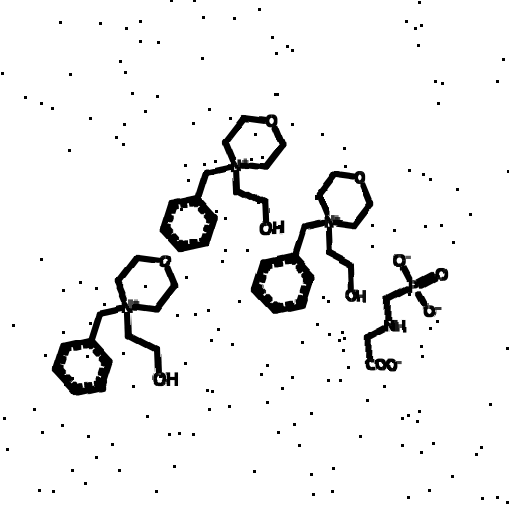 O=C([O-])CNCP(=O)([O-])[O-].OCC[N+]1(Cc2ccccc2)CCOCC1.OCC[N+]1(Cc2ccccc2)CCOCC1.OCC[N+]1(Cc2ccccc2)CCOCC1